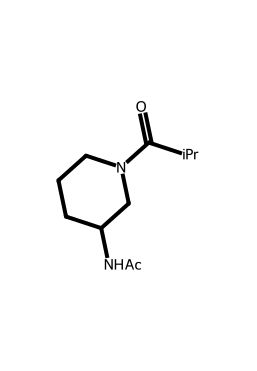 CC(=O)NC1CCCN(C(=O)C(C)C)C1